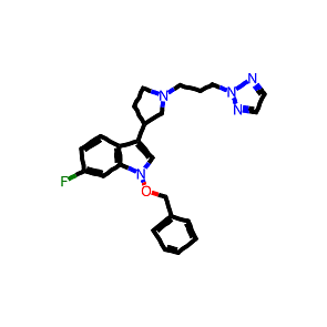 Fc1ccc2c(C3CCN(CCCn4nccn4)C3)cn(OCc3ccccc3)c2c1